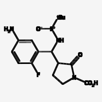 CC(C)(C)[S+]([O-])NC(c1cc(N)ccc1F)C1CCN(C(=O)O)C1=O